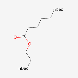 CCCCCCCCCCCCCCC(=O)OCCCCCCCCCCCC